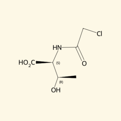 C[C@@H](O)[C@H](NC(=O)CCl)C(=O)O